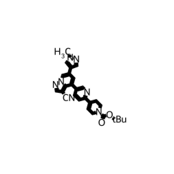 Cn1cc(-c2cc(-c3ccc(C4=CCN(C(=O)OC(C)(C)C)CC4)nc3)c3c(C#N)cnn3c2)cn1